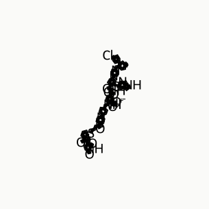 CC1(C)CCC(CN2CCN(c3ccc(C(=O)NS(=O)(=O)c4ccc(NCC5CCC(N6CCN(C(=O)CCCSc7cccc8c7CN(C7CCC(=O)NC7=O)C8=O)CC6)CC5)c([N+](=O)[O-])c4)c(Oc4cnc5[nH]ccc5c4)c3)CC2)=C(c2ccc(Cl)cc2)C1